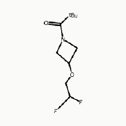 CC(C)(C)C(=O)N1CC(OCC(F)F)C1